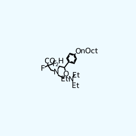 CCCCCCCCOc1ccc(C2CN(CC(F)(F)C(=O)O)CCO2)cc1.CCN(CC)CC